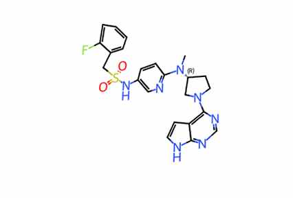 CN(c1ccc(NS(=O)(=O)Cc2ccccc2F)cn1)[C@@H]1CCN(c2ncnc3[nH]ccc23)C1